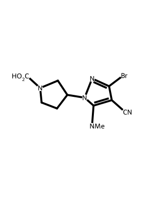 CNc1c(C#N)c(Br)nn1C1CCN(C(=O)O)C1